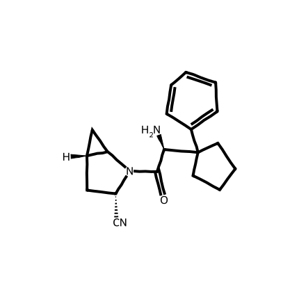 N#C[C@@H]1C[C@@H]2CC2N1C(=O)[C@@H](N)C1(c2ccccc2)CCCC1